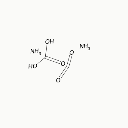 N.N.O=C(O)O.O=C=O